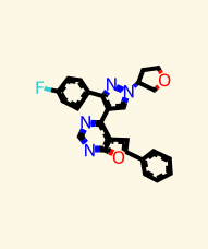 Fc1ccc(-c2nn(C3CCOC3)cc2-c2ncnc3oc(-c4ccccc4)cc23)cc1